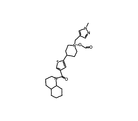 Cn1cc(C[N+]2(OC=O)CCC(c3cc(C(=O)N4CCCC5CCCCC54)cs3)CC2)cn1